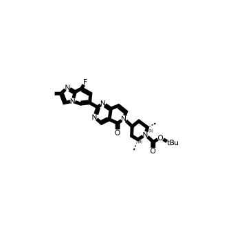 Cc1cn2cc(-c3ncc4c(=O)n(C5C[C@@H](C)N(C(=O)OC(C)(C)C)[C@@H](C)C5)ccc4n3)cc(F)c2n1